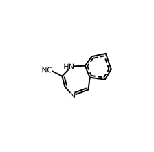 N#CC1=CN=Cc2ccccc2N1